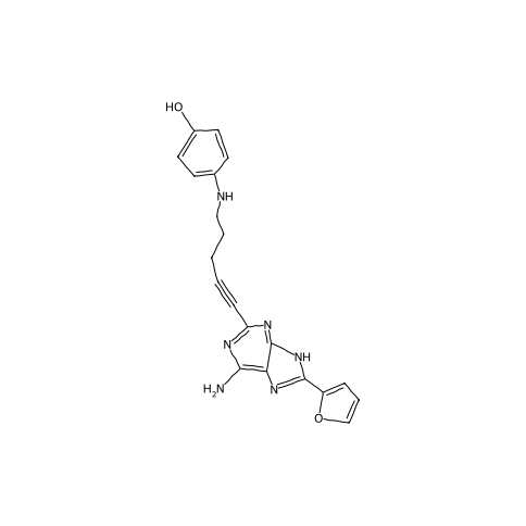 Nc1nc(C#CCCCNc2ccc(O)cc2)nc2[nH]c(-c3ccco3)nc12